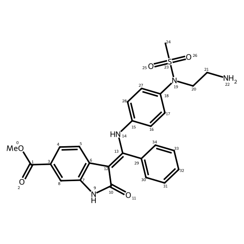 COC(=O)c1ccc2c(c1)NC(=O)C2=C(Nc1ccc(N(CCN)S(C)(=O)=O)cc1)c1ccccc1